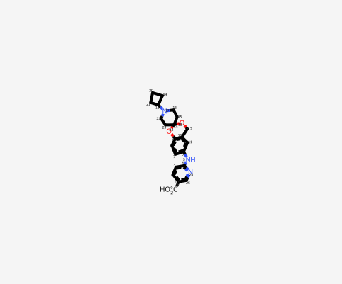 O=C(O)c1ccc(Nc2ccc3c(c2)COC2(CCN(C4CCC4)CC2)O3)nc1